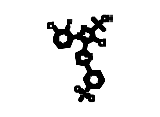 CC(C)(O)c1nn(-c2cccc(Cl)c2F)c(-c2ccc(-c3cccc(S(C)(=O)=O)c3)s2)c1Cl